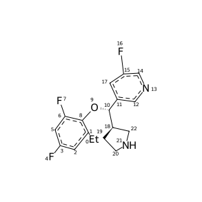 CCc1cc(F)cc(F)c1O[C@H](c1cncc(F)c1)[C@@H]1CCNC1